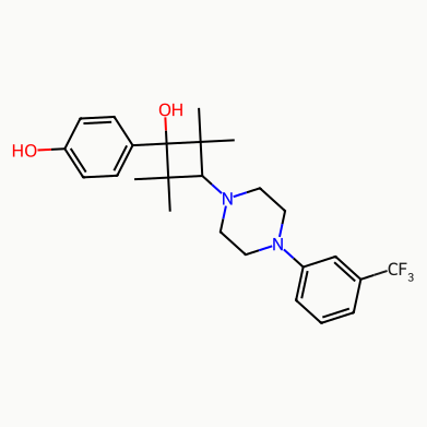 CC1(C)C(N2CCN(c3cccc(C(F)(F)F)c3)CC2)C(C)(C)C1(O)c1ccc(O)cc1